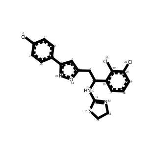 Clc1ccc(-c2cc(CC(NC3=NCCS3)c3cccc(Cl)c3Cl)on2)cc1